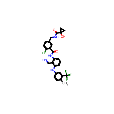 Cc1ccc(Nc2cccc(NC(=O)c3cc(CNC(=O)C4(O)CC4)ccc3Cl)c2C=N)cc1C(F)(F)F